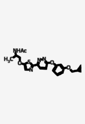 CC(=O)NC(C)COc1cnc(-c2ccc(Oc3cccc(OCC4CC4)c3)nn2)s1